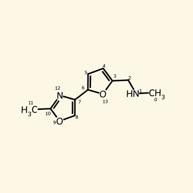 CNCc1ccc(-c2coc(C)n2)o1